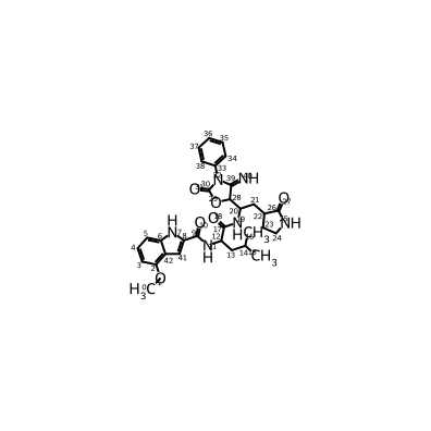 COc1cccc2[nH]c(C(=O)NC(CC(C)C)C(=O)NC(CC3CCNC3=O)C3OC(=O)N(c4ccccc4)C3=N)cc12